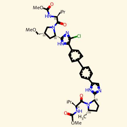 COC[C@H]1C[C@@H](c2nc(Cl)c(-c3ccc(-c4ccc(-c5cnc([C@@H]6CC[C@H](C)N6C(=O)[C@@H](NC(=O)OC)C(C)C)[nH]5)cc4)cc3)[nH]2)N(C(=O)[C@@H](NC(=O)OC)C(C)C)C1